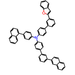 c1cc(-c2ccc(N(c3ccc(-c4cccc(-c5cc6ccccc6o5)c4)cc3)c3ccc(-c4cccc5ccccc45)cc3)cc2)cc(-c2ccc3ccccc3c2)c1